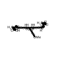 COCCOCCOCCOCCC(=O)N(CCNC(=O)NCCOCCOCCNS(=O)(=O)c1cccc([C@@H]2CN(C)Cc3c(Cl)cc(Cl)cc32)c1)CCNC(=O)NCCOCCOCCNS(=O)(=O)c1cccc([C@@H]2CN(C)Cc3c(Cl)cc(Cl)cc32)c1